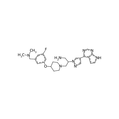 CN(C)Cc1cc(F)cc(OC2CCN(CC(CN)n3cc(-c4ncnc5[nH]ccc45)cn3)CC2)c1